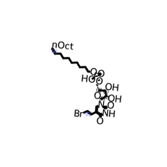 CCCCCCCC/C=C\CCCCCCCCOP(=O)(O)OC[C@H]1O[C@@H](n2cc(/C=C/Br)c(=O)[nH]c2=O)[C@@H](O)[C@@H]1O